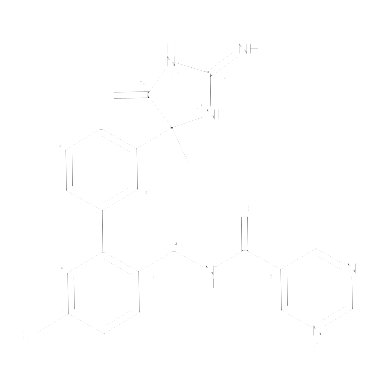 CC1(c2cccc(-c3cc(Cl)ccc3CNC(=O)c3cncnc3)c2)NC(=N)NC1=O